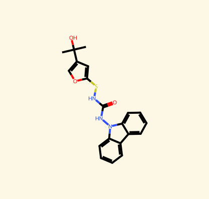 CC(C)(O)c1coc(SNC(=O)Nn2c3ccccc3c3ccccc32)c1